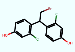 Oc1ccc(C(CBr)c2ccc(O)cc2Cl)c(Cl)c1